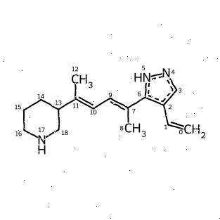 C=Cc1cn[nH]c1/C(C)=C/C=C(\C)C1CCCNC1